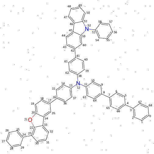 c1ccc(-c2ccc(-c3ccc(N(c4ccc(-c5ccc6oc7c(-c8ccccc8)cccc7c6c5)cc4)c4ccc(-c5ccc6c7ccccc7n(-c7ccccc7)c6c5)cc4)cc3)cc2)cc1